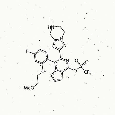 COCCOc1cc(F)ccc1-c1c(-c2nc3n(n2)CCNC3)nc(OS(=O)(=O)C(F)(F)F)c2ccsc12